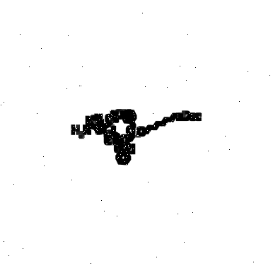 CCCCCCCCCCCCCCCCCCOC[C@H](COP(=O)(OC[C@H](C[C@@H](OC(C)(C)O)c1ccc2c(N)ncnn12)OC#N)Oc1ccccc1Cl)OCc1ccccc1